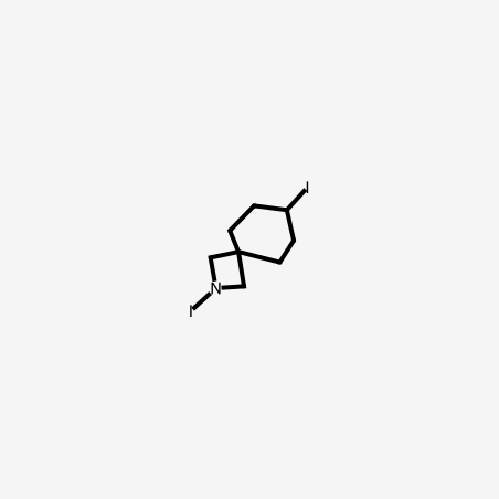 IC1CCC2(CC1)CN(I)C2